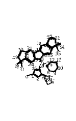 CC1=CC(C)[C]([Zr+2](=[C]2CCCCC2)[CH]2c3cc4c(cc3-c3cc5c(cc32)C(C)(C)C=C5)C=CC4(C)C)=C1.[Cl-].[Cl-]